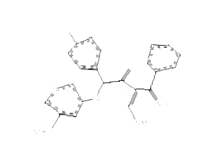 CN/C=C(\C(=N)c1ccccc1)C(=O)C(Nc1cncc(OC)c1)c1ccc(F)cc1